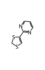 C1=C(c2ncccn2)SCS1